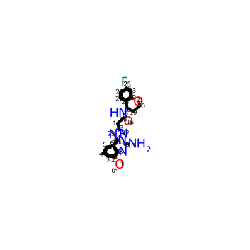 COc1cccc2c1nc(N)n1nc(CC(=O)NC3CCOc4cc(F)ccc43)nc21